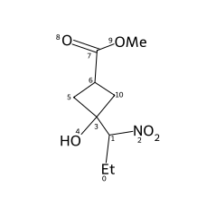 CCC([N+](=O)[O-])C1(O)CC(C(=O)OC)C1